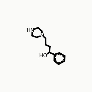 OC(CCCN1CCNCC1)c1ccccc1